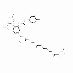 CC[C@@H](CC(=O)OCOC(=O)CCCCNC(=O)[C@H](C)OP(=O)(O)O)c1ccc(N(CC(C)C)CC(C)C)c(NC(=O)Nc2ccc(C)cc2)c1